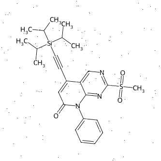 CC(C)[Si](C#Cc1cc(=O)n(-c2ccccc2)c2nc(S(C)(=O)=O)ncc12)(C(C)C)C(C)C